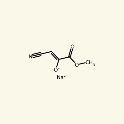 COC(=O)C([O-])=CC#N.[Na+]